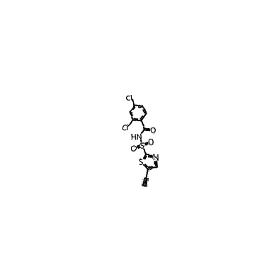 C#Cc1cnc(S(=O)(=O)NC(=O)c2ccc(Cl)cc2Cl)s1